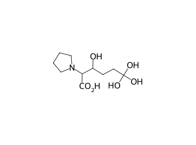 O=C(O)C(C(O)CCC(O)(O)O)N1CCCC1